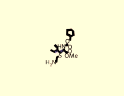 C=CC(=C\C)/C(SCCN)=C(\NC(=O)OCc1ccccc1)C(=O)OC